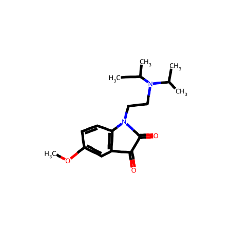 COc1ccc2c(c1)C(=O)C(=O)N2CCN(C(C)C)C(C)C